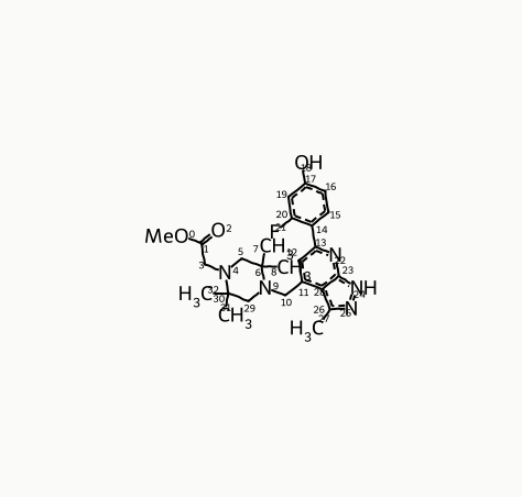 COC(=O)CN1CC(C)(C)N(Cc2cc(-c3ccc(O)cc3F)nc3[nH]nc(C)c23)CC1(C)C